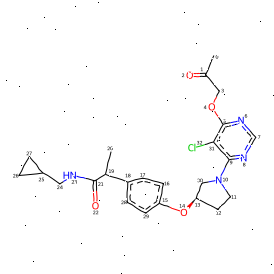 CC(=O)COc1ncnc(N2CC[C@@H](Oc3ccc(C(C)C(=O)NCC4CC4)cc3)C2)c1Cl